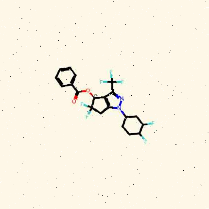 O=C(O[C@H]1c2c(C(F)(F)F)nn(C3CCC(F)C(F)C3)c2CC1(F)F)c1ccccc1